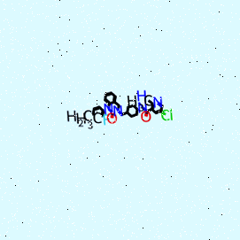 C=C/C=C\C(=C(/C)F)N1C(=O)N(CC2CCC(NC(=O)c3cc(Cl)cnc3C)CC2)Cc2ccccc21